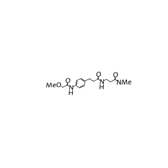 CNC(=O)CCNC(=O)CCc1ccc(NC(=O)COC)cc1